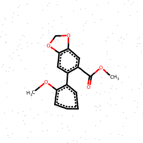 COC(=O)c1cc2c(cc1-c1ccccc1OC)OCO2